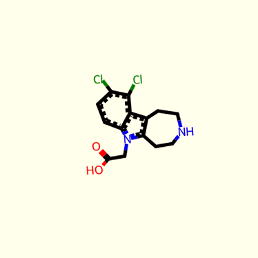 O=C(O)Cn1c2c(c3c(Cl)c(Cl)ccc31)CCNCC2